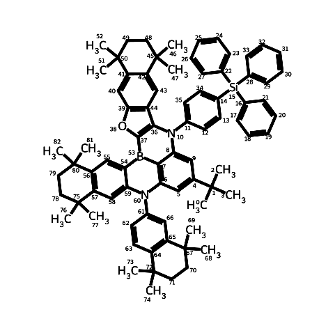 CC(C)(C)c1cc2c3c(c1)N(c1ccc([Si](c4ccccc4)(c4ccccc4)c4ccccc4)cc1)c1c(oc4cc5c(cc14)C(C)(C)CCC5(C)C)B3c1cc3c(cc1N2c1ccc2c(c1)C(C)(C)CCC2(C)C)C(C)(C)CCC3(C)C